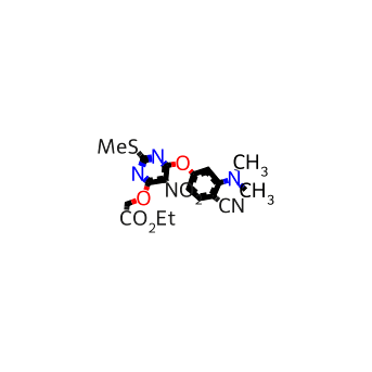 CCOC(=O)COc1nc(SC)nc(Oc2ccc(C#N)c(N(C)C)c2)c1[N+](=O)[O-]